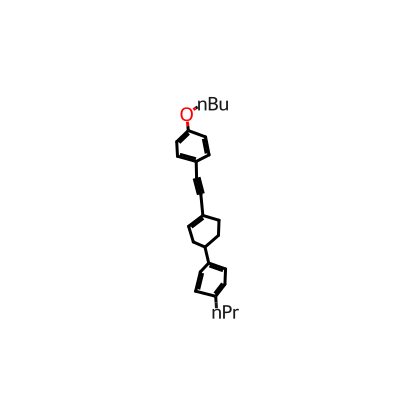 CCCCOc1ccc(C#CC2=CCC(c3ccc(CCC)cc3)CC2)cc1